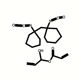 C=CC(=O)OC(O)C=C.O=C=NC1(CC2(N=C=O)CCCCC2)CCCCC1